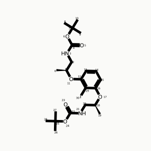 C[C@@H](CNC(=O)OC(C)(C)C)Oc1cccc(O[C@@H](C)CNC(=O)OC(C)(C)C)c1I